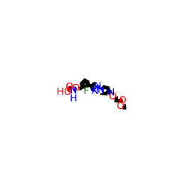 CCOC(=O)CCON=C1CCN(c2ncc(-c3cccc(CONC(=O)O)c3F)cn2)CC1